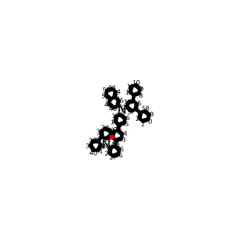 c1ccc(-c2cc(-c3ccccc3)cc(N(c3ccc(-c4ccc(-c5ccccc5-n5c6ccccc6c6ccccc65)cc4)cc3)c3ccc4ccccc4c3)c2)cc1